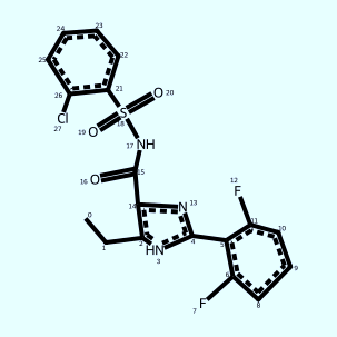 CCc1[nH]c(-c2c(F)cccc2F)nc1C(=O)NS(=O)(=O)c1ccccc1Cl